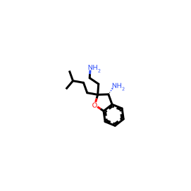 CC(C)CCC1(CCN)Oc2ccccc2[C@H]1N